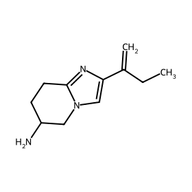 C=C(CC)c1cn2c(n1)CCC(N)C2